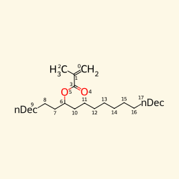 C=C(C)C(=O)OC(CCCCCCCCCCCC)CCCCCCCCCCCCCCCCC